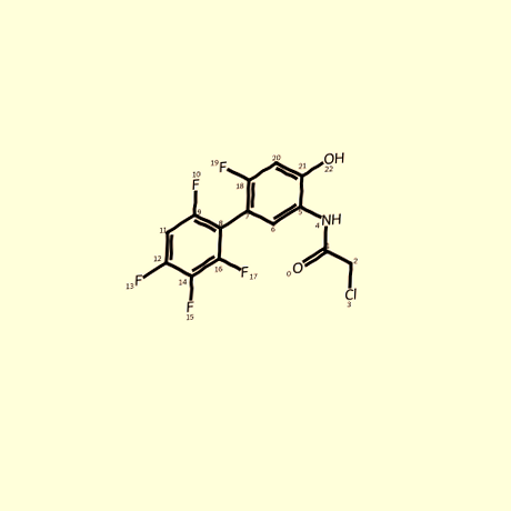 O=C(CCl)Nc1cc(-c2c(F)cc(F)c(F)c2F)c(F)cc1O